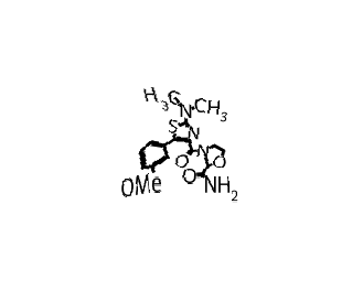 COc1cccc(-c2sc(N(C)C)nc2C(=O)N2CCOC2C(N)=O)c1